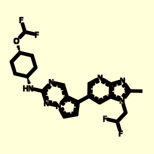 Cc1nc2ncc(-c3ccn4nc(N[C@H]5CC[C@@H](OC(F)F)CC5)ncc34)cc2n1CC(F)F